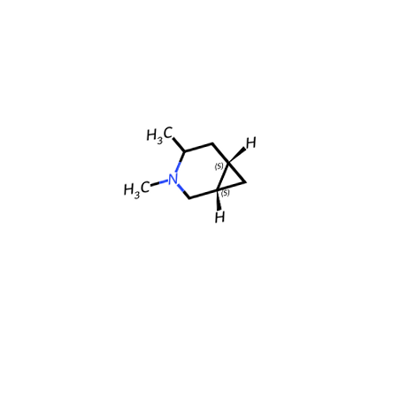 CC1C[C@@H]2C[C@@H]2CN1C